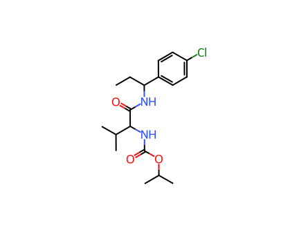 CCC(NC(=O)C(NC(=O)OC(C)C)C(C)C)c1ccc(Cl)cc1